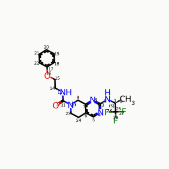 C[C@H](Nc1ncc2c(n1)CN(C(=O)NCCOc1ccccc1)CC2)C(F)(F)F